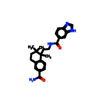 CC1(C)CCc2cc(C(N)=O)ccc2C1(C)CCNC(=O)c1ccc2nc[nH]c2c1